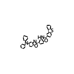 c1ccc(N(c2ccccc2)c2ccc3oc(-c4ccc5c(c4)NC(c4ccc6sc7ccccc7c6c4)O5)nc3c2)cc1